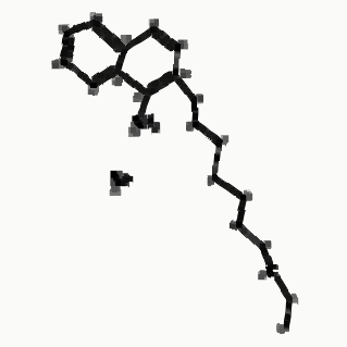 CCCCCCCCCCc1ccc2ccccc2c1N.[Na]